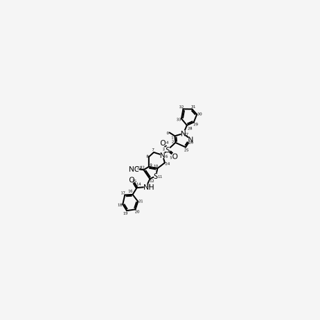 Cc1c(S(=O)(=O)N2CCc3c(sc(NC(=O)c4ccccc4)c3C#N)C2)cnn1-c1ccccc1